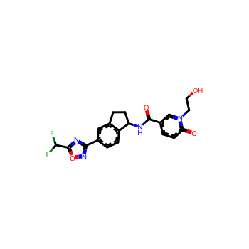 O=C(NC1CCc2cc(-c3noc(C(F)F)n3)ccc21)c1ccc(=O)n(CCO)c1